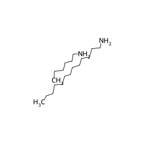 CCCCCCCCCCCCCN.CCCCCCN